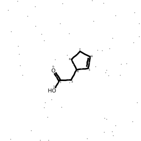 O=C(O)CC1C=[C]CC1